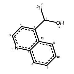 [2H]C(O)c1ccnc2ccccc12